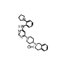 O[C@@H]1CN(c2cc(Nc3ccccc3N3CCCC3)ncn2)CC[C@H]1N1CCc2ccccc2C1